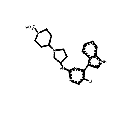 O=C(O)N1CCC(N2CCC(Nc3ncc(Cl)c(-c4c[nH]c5ccccc45)n3)C2)CC1